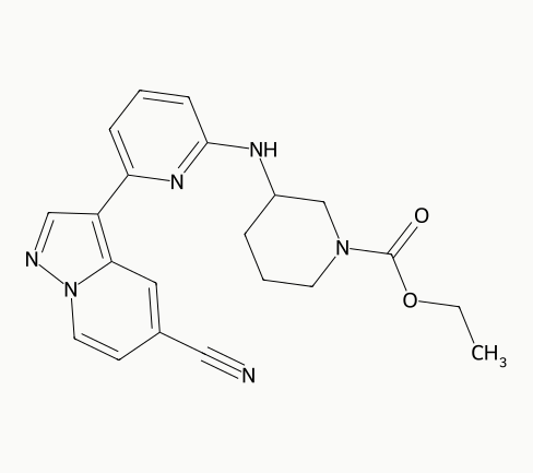 CCOC(=O)N1CCCC(Nc2cccc(-c3cnn4ccc(C#N)cc34)n2)C1